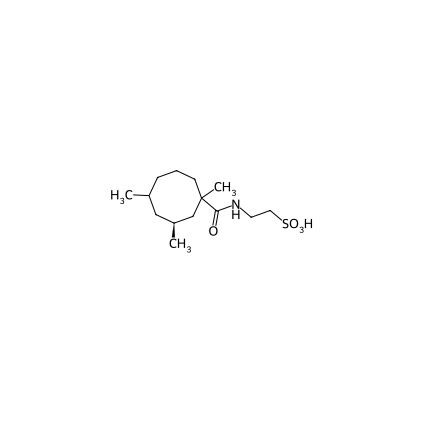 CC1CCCC(C)(C(=O)NCCS(=O)(=O)O)C[C@@H](C)C1